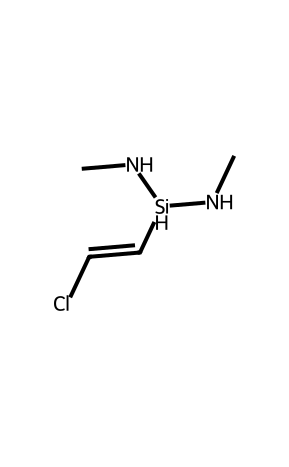 CN[SiH](C=CCl)NC